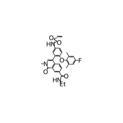 C=CS(=O)(=O)Nc1ccc(Oc2c(C)cc(F)cc2C)c(-c2cn(C)c(=O)c3cc(C(=O)NCC)ccc23)c1